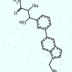 CC(C)Cn1ccc2cc(-c3cccc(C(O)C(O)C(N)=O)n3)ccc21